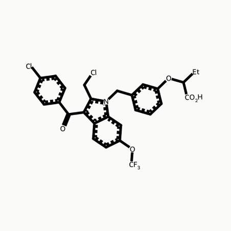 CCC(Oc1cccc(Cn2c(CCl)c(C(=O)c3ccc(Cl)cc3)c3ccc(OC(F)(F)F)cc32)c1)C(=O)O